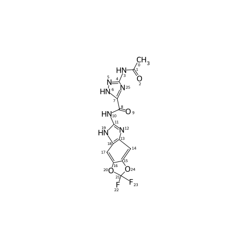 CC(=O)Nc1n[nH]c(C(=O)Nc2nc3cc4c(cc3[nH]2)OC(F)(F)O4)n1